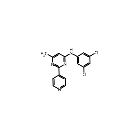 FC(F)(F)c1cc(Nc2cc(Cl)cc(Cl)c2)nc(-c2ccncc2)n1